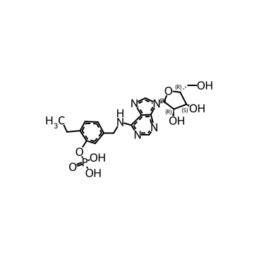 CCc1ccc(CNc2ncnc3c2ncn3[C@@H]2O[C@H](CO)[C@@H](O)[C@H]2O)cc1OP(=O)(O)O